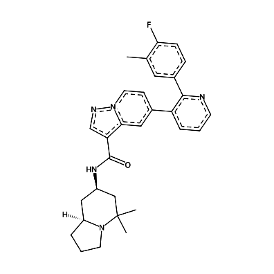 Cc1cc(-c2ncccc2-c2ccn3ncc(C(=O)N[C@@H]4C[C@@H]5CCCN5C(C)(C)C4)c3c2)ccc1F